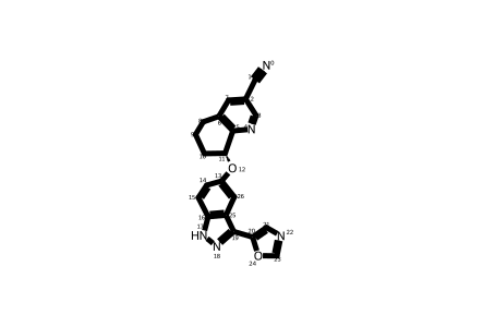 N#Cc1cnc2c(c1)CCC[C@H]2Oc1ccc2[nH]nc(-c3cnco3)c2c1